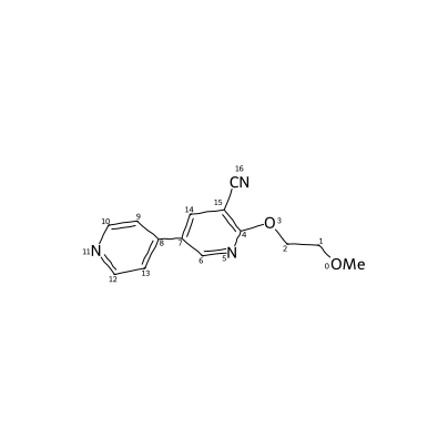 COCCOc1ncc(-c2ccncc2)cc1C#N